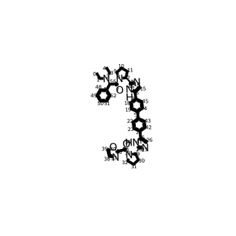 CCN(CC)[C@@H](C(=O)N1CCC[C@H]1c1ncc(-c2ccc(-c3ccc(-c4cnc([C@@H]5CCCN5C(=O)c5ncco5)[nH]4)cc3)cc2)[nH]1)c1ccccc1